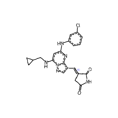 O=C1C/C(=C\c2cnn3c(NCC4CC4)cc(Nc4cccc(Cl)c4)nc23)C(=O)N1